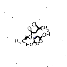 C=COC(=O)CC(=C)Cl.O=C(O)/C=C\C(=O)O